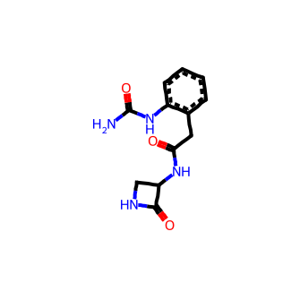 NC(=O)Nc1ccccc1CC(=O)NC1CNC1=O